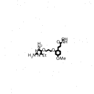 CCc1nc(N)nc(N)c1OCCCOc1cc(OC)ccc1C=CC(=O)NO